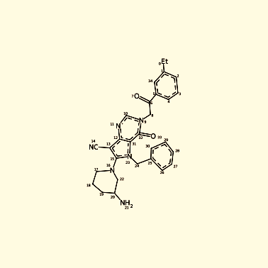 CCc1cccc(C(=O)Cn2cnc3c(C#N)c(N4CCCC(N)C4)n(Cc4ccccc4)c3c2=O)c1